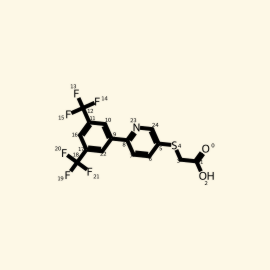 O=C(O)CSc1ccc(-c2cc(C(F)(F)F)cc(C(F)(F)F)c2)nc1